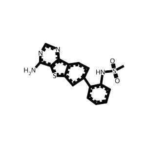 CS(=O)(=O)Nc1ccccc1-c1ccc2c(c1)sc1c(N)ncnc12